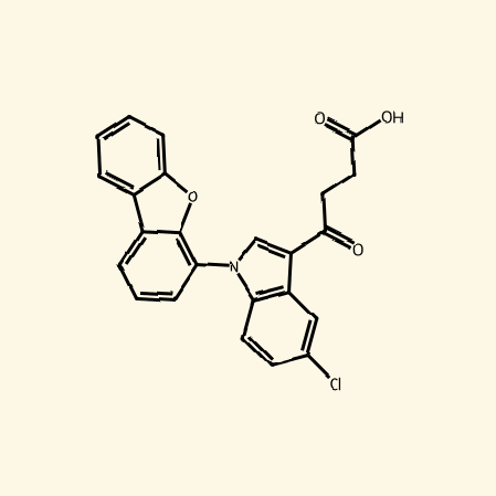 O=C(O)CCC(=O)c1cn(-c2cccc3c2oc2ccccc23)c2ccc(Cl)cc12